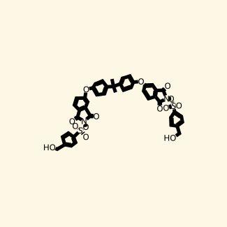 CC(C)(c1ccc(Oc2ccc3c(c2)C(=O)N(OS(=O)(=O)c2ccc(CO)cc2)C3=O)cc1)c1ccc(Oc2ccc3c(c2)C(=O)N(OS(=O)(=O)c2ccc(CO)cc2)C3=O)cc1